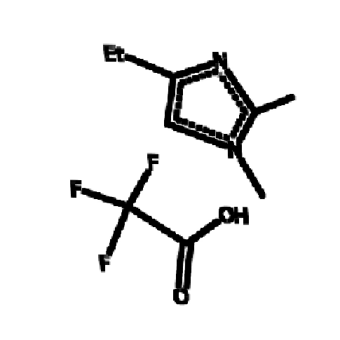 CCc1cn(C)c(C)n1.O=C(O)C(F)(F)F